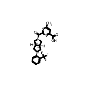 Cc1cc(C(=O)O)nc(C(=O)N2C[C@H]3C[C@@H](c4ccccc4C(F)(F)F)C[C@H]3C2)n1